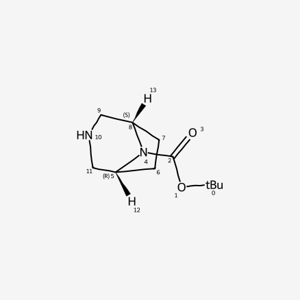 CC(C)(C)OC(=O)N1[C@@H]2CC[C@H]1CNC2